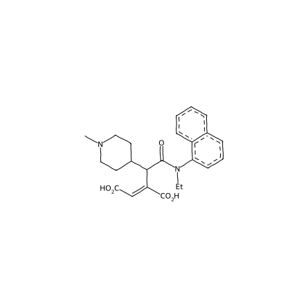 CCN(C(=O)C(/C(=C\C(=O)O)C(=O)O)C1CCN(C)CC1)c1cccc2ccccc12